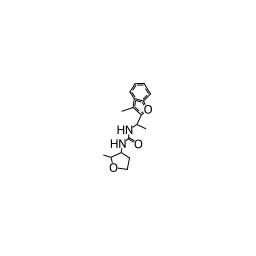 Cc1c(C(C)NC(=O)NC2CCOC2C)oc2ccccc12